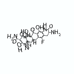 CN(C)[C@H]1C(O)=C(C(N)=O)C(=O)[C@]2(O)C(O)=C3C(=O)c4c(O)c5c(c(F)c4C[C@@H]3C[C@H]12)CC(N)C(=O)N5